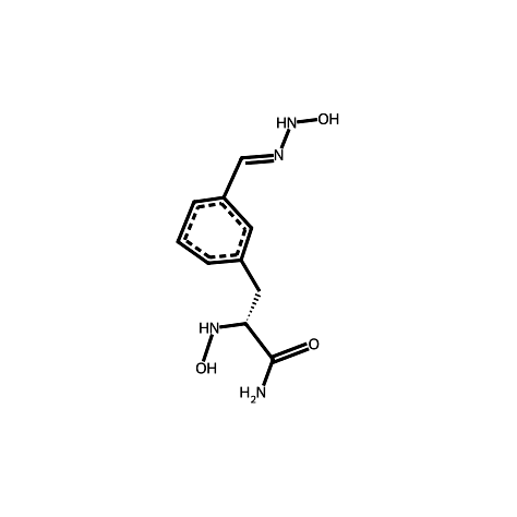 NC(=O)[C@@H](Cc1cccc(C=NNO)c1)NO